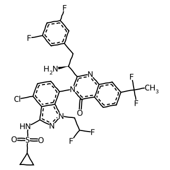 CC(F)(F)c1ccc2c(=O)n(-c3ccc(Cl)c4c(NS(=O)(=O)C5CC5)nn(CC(F)F)c34)c([C@@H](N)Cc3cc(F)cc(F)c3)nc2c1